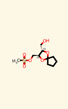 CS(=O)(=O)OC[C@@H]1OC2(CCCC2)O[C@H]1CO